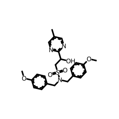 COc1ccc(CN(Cc2ccc(OC)cc2)S(=O)(=O)CC(O)c2ncc(C)cn2)cc1